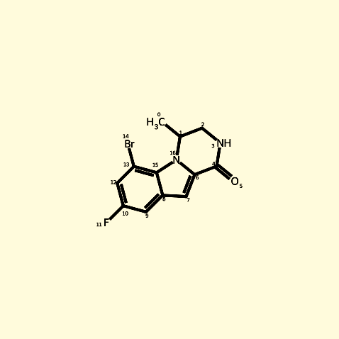 CC1CNC(=O)c2cc3cc(F)cc(Br)c3n21